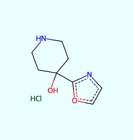 Cl.OC1(c2ncco2)CCNCC1